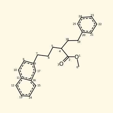 COC(=O)C(CCCc1ccc2ccccc2c1)CCc1ccccc1